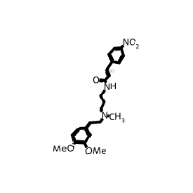 COc1ccc(CCN(C)CCCNC(=O)/C=C/c2ccc([N+](=O)[O-])cc2)cc1OC